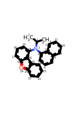 CC(C)N(c1cccc2ccccc12)c1cccc2oc3ccccc3c12